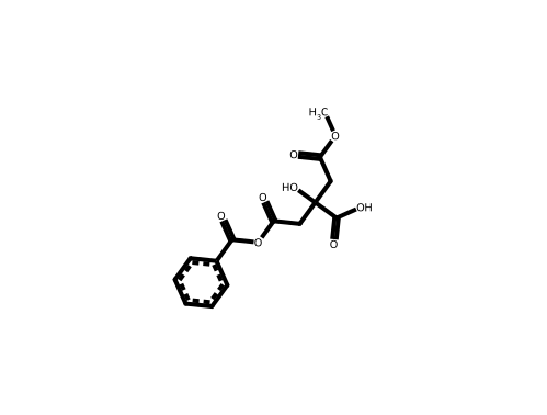 COC(=O)CC(O)(CC(=O)OC(=O)c1ccccc1)C(=O)O